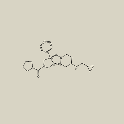 C[C@H]1CN(C(=O)C2CCCC2)C[C@]1(ON1CCC(NCC2CC2)CC1)c1ccccc1